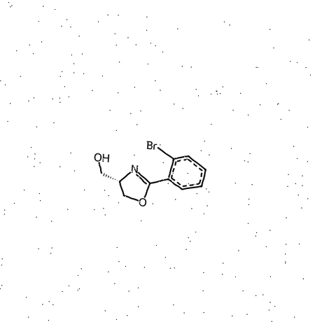 OC[C@H]1COC(c2ccccc2Br)=N1